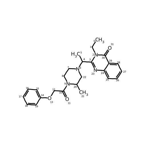 CCn1c(C(C)N2CCN(C(=O)COc3ccccc3)C(C)C2)nc2ccccc2c1=O